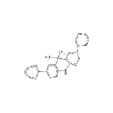 CC1(C)c2cc(-c3ccccc3)ccc2Nc2ccc(-c3ccccc3)cc21